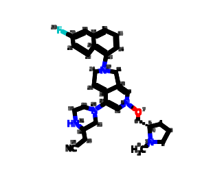 CN1CCC[C@H]1CON1C=C2CN(c3cccc4cc(F)ccc34)CC=C2C(N2CCNC(CC#N)C2)=C1